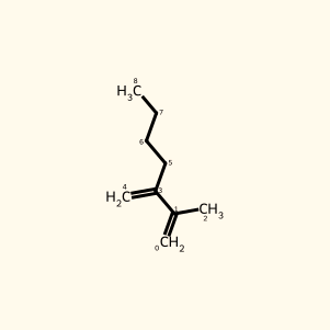 C=C(C)C(=C)CCCC